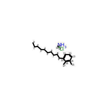 CCCCCCCCCCc1cccc(C)c1C.CCl.N